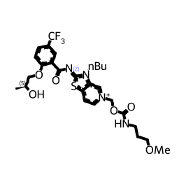 CCCCn1/c(=N/C(=O)c2cc(C(F)(F)F)ccc2OC[C@H](C)O)sc2cc[n+](COC(=O)NCCCOC)cc21